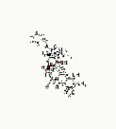 Cc1cc2c(c(O)c1O)[C@H]1C3[C@@H]4SC[C@H](NC(=O)C(NC(=O)/C=C/c5ccccc5)C(C)C)C(=O)OC[C@@H](c5c6c(c(C)c(O)c54)OCO6)N3[C@@H](C#N)[C@@H](C2)N1C